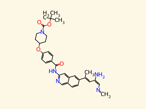 C=N/C=C(N)\C=C(/C)c1ccc2cnc(NC(=O)c3ccc(OC4CCN(C(=O)OC(C)(C)C)CC4)cc3)cc2c1